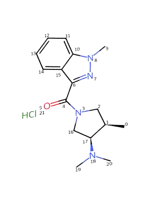 C[C@@H]1CN(C(=O)c2nn(C)c3ccccc23)C[C@@H]1N(C)C.Cl